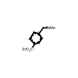 CCOC(=O)c1ccc(CNC)cc1